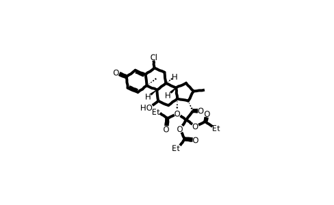 CCC(=O)OC(OC(=O)CC)(OC(=O)CC)C(=O)[C@H]1C(C)C[C@H]2[C@@H]3CC(Cl)C4=CC(=O)C=C[C@]4(C)[C@H]3C(O)C[C@]12C